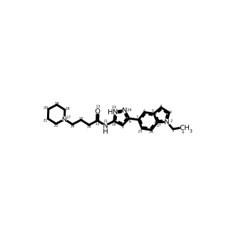 CCn1ccc2cc(-c3cc(NC(=O)CCCN4CCCCC4)[nH]n3)ccc21